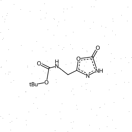 CC(C)(C)OC(=O)NCc1n[nH]c(=O)o1